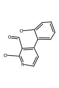 O=Cc1c(-c2ccccc2Cl)ccnc1Cl